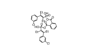 CCC(=C(CC)P(=O)(O)OC(=O)c1ccccc1C(=O)OP(=O)(O)C(CC)=C(CC)c1cccc(Cl)c1)c1cccc(Cl)c1